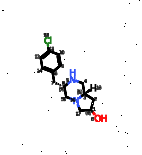 O[C@@H]1C[C@H]2CN[C@@H](Cc3ccc(Cl)cc3)CN2C1